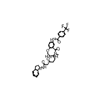 CN1C(=O)c2cc(NC(=O)c3ccc(C(F)(F)F)cc3)ccc2OC[C@@H]2O[C@H](CC(=O)N[C@@H]3CCc4ccccc43)CC[C@@H]21